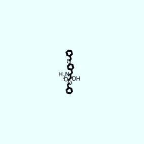 N[C@@H](Cc1ccc(OCc2ccccc2)cc1)[C@H](O)C(=O)OCc1ccccc1